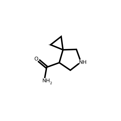 NC(=O)C1CNCC12[CH]C2